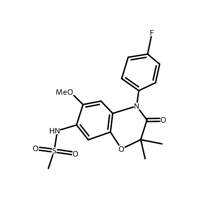 COc1cc2c(cc1NS(C)(=O)=O)OC(C)(C)C(=O)N2c1ccc(F)cc1